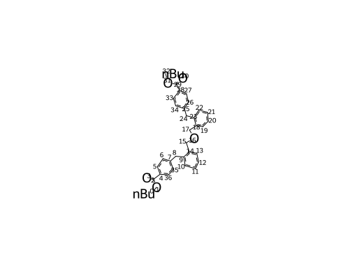 CCCCOC(=O)c1ccc(Cc2ccccc2COCc2ccccc2Cc2ccc(C(=O)OCCCC)cc2)cc1